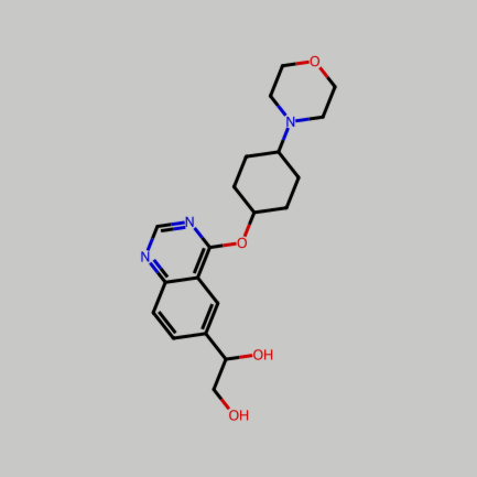 OCC(O)c1ccc2ncnc(OC3CCC(N4CCOCC4)CC3)c2c1